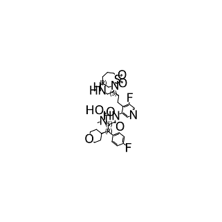 CN(C(=O)O)[C@H](C(=O)Nc1cncc(F)c1CC[C@H]1CN[C@@H]2CCCS(=O)(=O)N1C2)[C@@H](c1ccc(F)cc1)C1CCOCC1